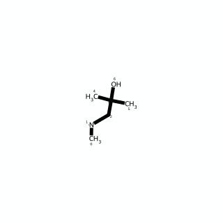 C[N]CC(C)(C)O